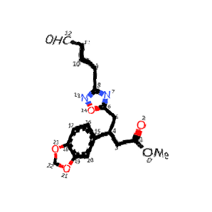 COC(=O)CC(Cc1nc(CCCC=O)no1)c1ccc2c(c1)OCO2